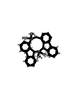 C[Si]1(C)Cc2cccc3c2[CH](c2ccccc2-3)[Zr]([CH3])([CH3])[CH]2c3ccccc3-c3cccc1c32